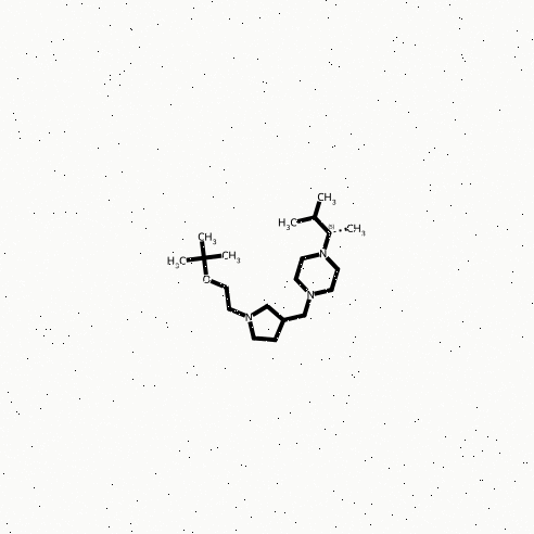 CC(C)[C@H](C)N1CCN(CC2CCN(CCOC(C)(C)C)C2)CC1